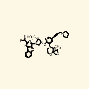 C[C@@H]1N(c2cc(C#CCN3CCCC3)cnc2O[C@H]2C[C@@H](C(=O)O)N(c3nc(C(F)F)nc4c3oc3ccccc34)C2)CCOC12COC2